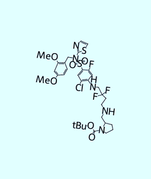 COc1ccc(CN(c2nccs2)S(=O)(=O)c2cc(Cl)c(NCC(F)(F)CCNCC3CCCN3C(=O)OC(C)(C)C)cc2F)c(OC)c1